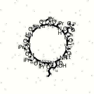 C/C=C/C[C@@H](C)[C@@H](O)[C@H]1C(=O)N[C@@H](CC)C(=O)N(C)[C@H](C)C(=O)N(C)[C@@H]([C@H](C)CS(C)(=O)=O)C(=O)NC(C(C)C)C(=O)N(C)[C@@H](CC(C)C)C(=O)N[C@@H](C)C(=O)N[C@H](C)C(=O)N(C)[C@@H](CC(C)C)C(=O)N(C)[C@@H](CC(C)C)C(=O)N(C)C(C(C)C)C(=O)N1C